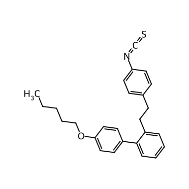 CCCCCOc1ccc(-c2ccccc2CCc2ccc(N=C=S)cc2)cc1